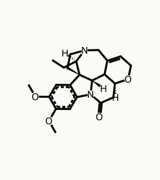 CC[C@H]1N2CC[C@@]13c1cc(OC)c(OC)cc1N1C(=O)C[C@@H]4OCC=C(C2)C4[C@H]13